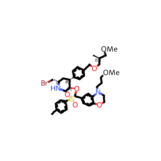 COCCCN1CCOc2ccc(C(O[C@H]3CN[C@H](CBr)C[C@@H]3c3ccc(COC[C@@H](C)COC)cc3)S(=O)(=O)c3ccc(C)cc3)cc21